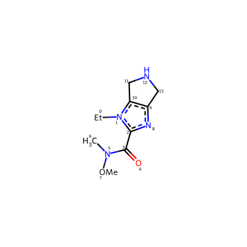 CCn1c(C(=O)N(C)OC)nc2c1CNC2